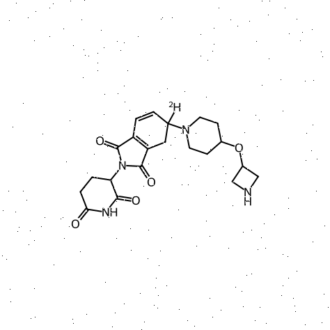 [2H]C1(N2CCC(OC3CNC3)CC2)C=CC2=C(C1)C(=O)N(C1CCC(=O)NC1=O)C2=O